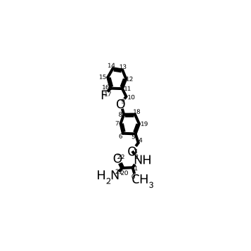 CC(NOCc1ccc(OCc2ccccc2F)cc1)C(N)=O